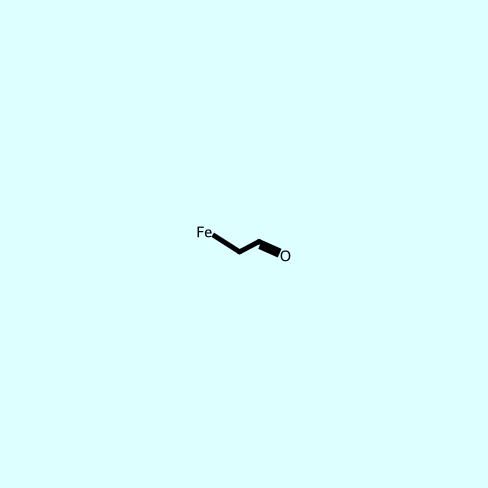 O=C[CH2][Fe]